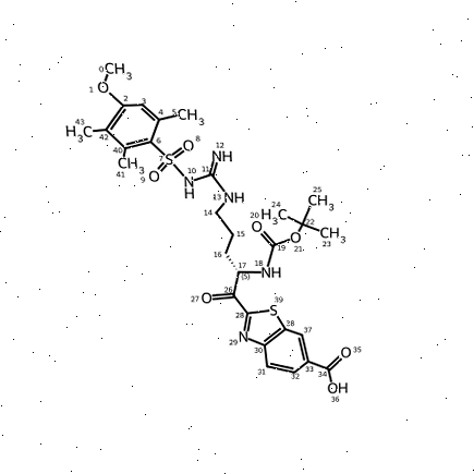 COc1cc(C)c(S(=O)(=O)NC(=N)NCCC[C@H](NC(=O)OC(C)(C)C)C(=O)c2nc3ccc(C(=O)O)cc3s2)c(C)c1C